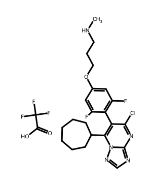 CNCCCOc1cc(F)c(-c2c(Cl)nc3ncnn3c2C2CCCCCC2)c(F)c1.O=C(O)C(F)(F)F